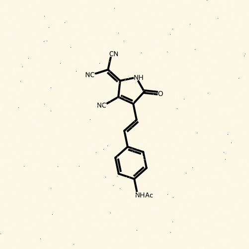 CC(=O)Nc1ccc(/C=C/C2=C(C#N)C(=C(C#N)C#N)NC2=O)cc1